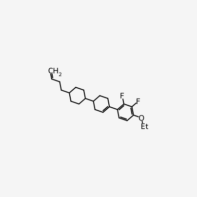 C=CCCC1CCC(C2CC=C(c3ccc(OCC)c(F)c3F)CC2)CC1